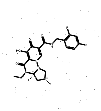 CCN1C(=O)c2c(O)c(=O)c(C(=O)NCc3ccc(F)cc3F)cn2N2C[C@H](C)C[C@@H]12